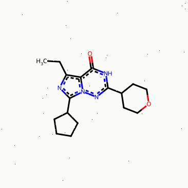 CCc1nc(C2CCCC2)n2nc(C3CCOCC3)[nH]c(=O)c12